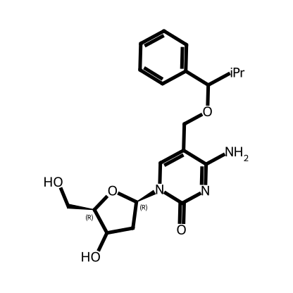 CC(C)C(OCc1cn([C@H]2CC(O)[C@@H](CO)O2)c(=O)nc1N)c1ccccc1